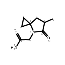 CC1CC2(CC2)N(CC(N)=O)C1=O